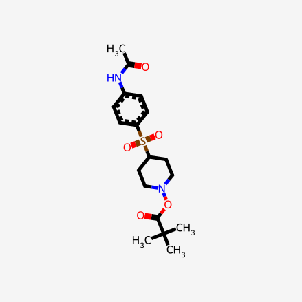 CC(=O)Nc1ccc(S(=O)(=O)C2CCN(OC(=O)C(C)(C)C)CC2)cc1